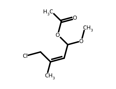 COC(C=C(C)CCl)OC(C)=O